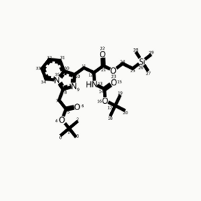 CC(C)(C)OC(=O)Cc1nc(CC(NC(=O)OC(C)(C)C)C(=O)OCC[Si](C)(C)C)c2ccccn12